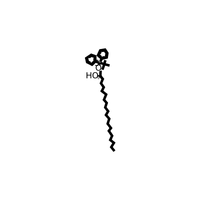 CCCCCCCCCCCCCCCCCCC[C@@H](O)CO[Si](c1ccccc1)(c1ccccc1)C(C)(C)C